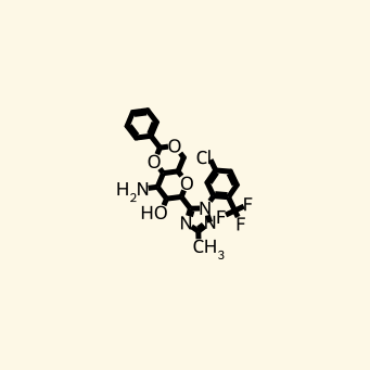 Cc1nc(C2OC3COC(c4ccccc4)OC3C(N)C2O)n(-c2cc(Cl)ccc2C(F)(F)F)n1